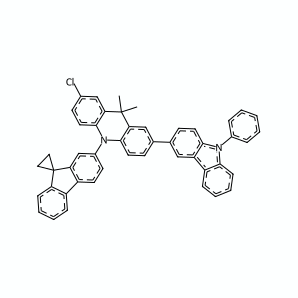 CC1(C)c2cc(Cl)ccc2N(c2ccc3c(c2)C2(CC2)c2ccccc2-3)c2ccc(-c3ccc4c(c3)c3ccccc3n4-c3ccccc3)cc21